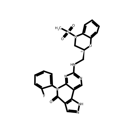 CS(=O)(=O)N1C[C@H](CNc2ncc3c4[nH]ncc4c(=O)n(-c4ccccc4F)c3n2)Oc2ccccc21